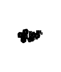 Nc1ncnc2c1ncn2[C@@]1(F)CO[C@H](COC(c2ccccc2)(c2ccccc2)c2ccccc2)[C@H]1O